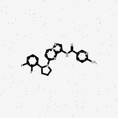 Cc1ccc(C(=O)Nc2cnn3ccc(N4CCCC4c4cccc(F)c4F)nc23)cn1